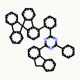 c1ccc(-c2nc(-c3ccccc3-c3cccc4c3-c3ccccc3C43c4ccccc4-c4ccccc43)nc(-c3cccc4c3-c3ccccc3C4)n2)cc1